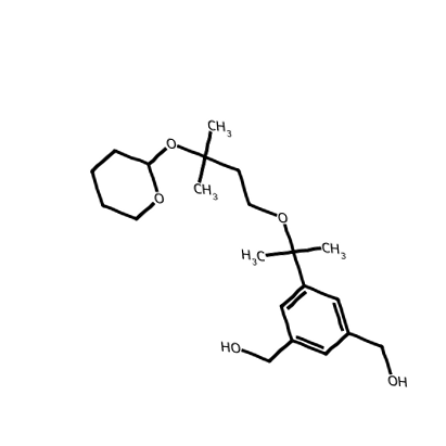 CC(C)(CCOC(C)(C)c1cc(CO)cc(CO)c1)OC1CCCCO1